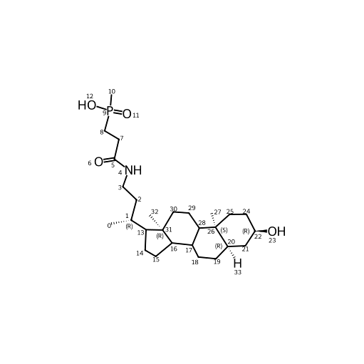 C[C@H](CCNC(=O)CCP(C)(=O)O)C1CCC2C3CC[C@@H]4C[C@H](O)CC[C@]4(C)C3CC[C@@]21C